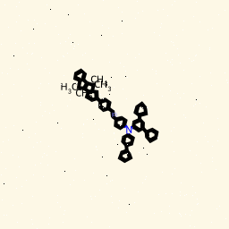 CC1(C)C2=C(c3ccccc31)C(C)(C)c1cc(-c3ccc(/C=C/c4ccc(N(c5ccc(-c6ccccc6)cc5)c5cc(-c6ccccc6)cc(-c6ccccc6)c5)cc4)cc3)ccc12